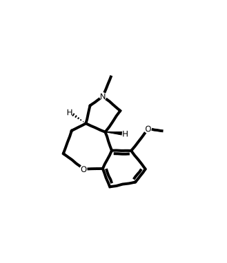 COc1cccc2c1[C@H]1CN(C)C[C@@H]1CCO2